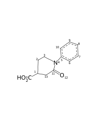 O=C(O)C1CCN(c2ccccc2)C(=O)C1